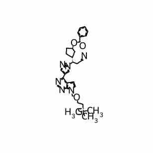 C[Si](C)(C)CCOCn1ccc2c(-c3cnn(C(CC#N)[C@@H]4CC[C@@H](OC(=O)c5ccccc5)C4)c3)ncnc21